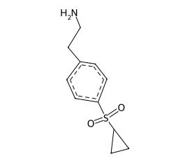 NCCc1ccc(S(=O)(=O)C2CC2)cc1